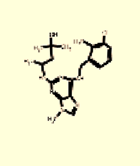 CC(CC(C)(C)O)Nc1nc(NCc2cccc(Cl)c2N)c2ncn(C)c2n1